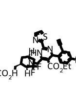 C#Cc1cc(F)ccc1C1N=C(c2nccs2)NC(CN2[C@@H]3C[C@H](CC(=O)O)[C@H]2C(F)(F)C3)=C1C(=O)OCC